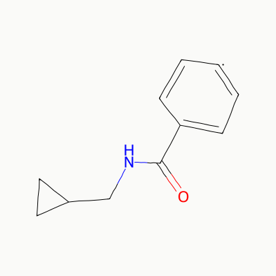 O=C(NCC1CC1)c1cc[c]cc1